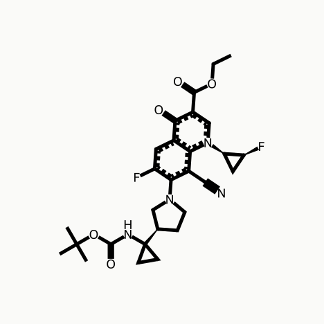 CCOC(=O)c1cn([C@@H]2C[C@@H]2F)c2c(C#N)c(N3CC[C@@H](C4(NC(=O)OC(C)(C)C)CC4)C3)c(F)cc2c1=O